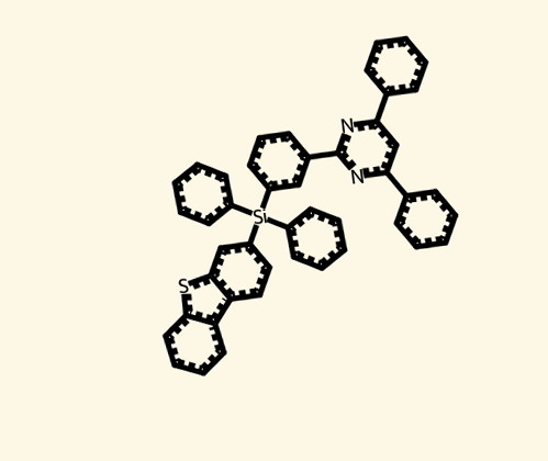 c1ccc(-c2cc(-c3ccccc3)nc(-c3cccc([Si](c4ccccc4)(c4ccccc4)c4ccc5c(c4)sc4ccccc45)c3)n2)cc1